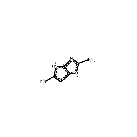 Nc1cc2oc(N)nc2[nH]1